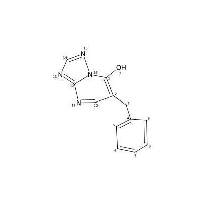 Oc1c(Cc2ccccc2)cnc2ncnn12